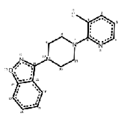 Clc1cccnc1N1CCN(c2noc3ccccc23)CC1